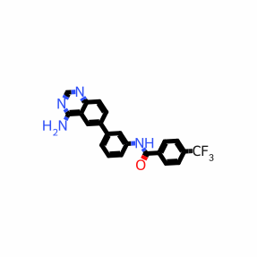 Nc1ncnc2ccc(-c3cccc(NC(=O)c4ccc(C(F)(F)F)cc4)c3)cc12